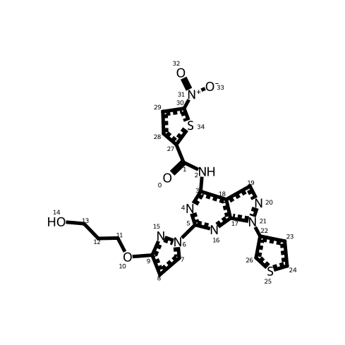 O=C(Nc1nc(-n2ccc(OCCCO)n2)nc2c1cnn2-c1ccsc1)c1ccc([N+](=O)[O-])s1